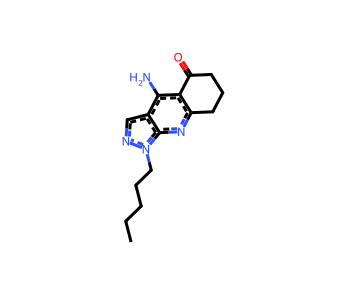 CCCCCn1ncc2c(N)c3c(nc21)CCCC3=O